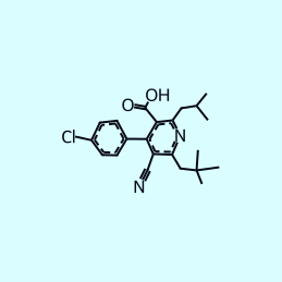 CC(C)Cc1nc(CC(C)(C)C)c(C#N)c(-c2ccc(Cl)cc2)c1C(=O)O